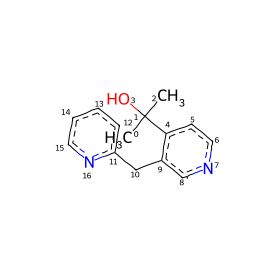 CC(C)(O)c1ccn[c]c1Cc1ccccn1